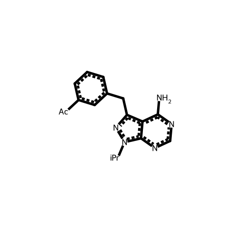 CC(=O)c1cccc(Cc2nn(C(C)C)c3ncnc(N)c23)c1